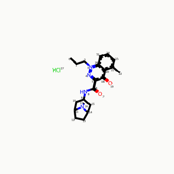 CCCn1nc(C(=O)NC2CC3CCC(C2)N3C)c(=O)c2c(C)cccc21.Cl